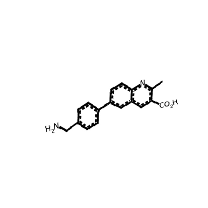 Cc1nc2ccc(-c3ccc(CN)cc3)cc2cc1C(=O)O